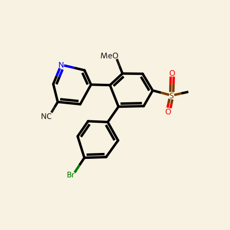 COc1cc(S(C)(=O)=O)cc(-c2ccc(Br)cc2)c1-c1cncc(C#N)c1